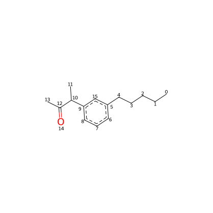 CCCCCc1cccc(C(C)C(C)=O)c1